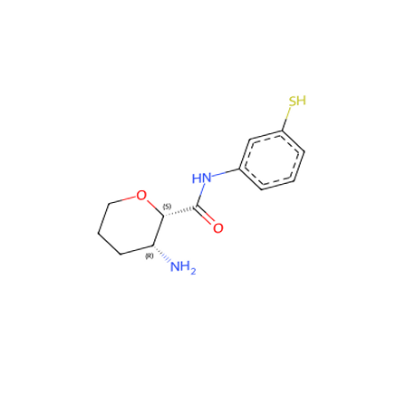 N[C@@H]1CCCO[C@@H]1C(=O)Nc1cccc(S)c1